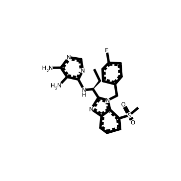 CC[C@H](Nc1ncnc(N)c1N)c1nc2cccc(S(C)(=O)=O)c2n1Cc1ccc(F)cc1